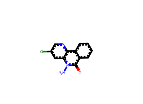 Nn1c(=O)c2ccccc2c2ncc(Cl)cc21